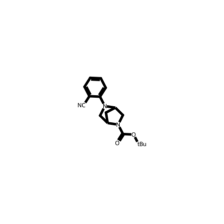 CC(C)(C)OC(=O)N1CC2CC1CN2c1ccccc1C#N